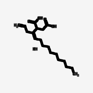 C=CCC(=CCCCCCCCCCC)C(CC(=O)O)C(=O)O.[KH]